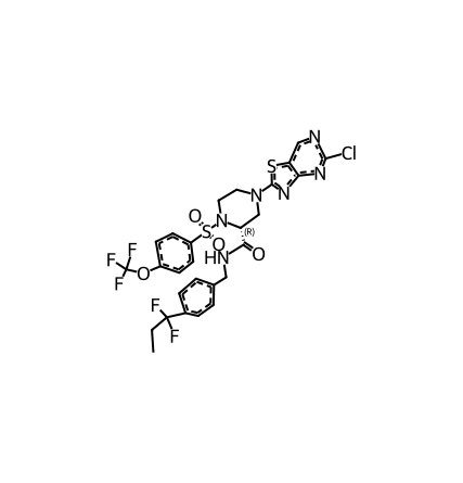 CCC(F)(F)c1ccc(CNC(=O)[C@H]2CN(c3nc4nc(Cl)ncc4s3)CCN2S(=O)(=O)c2ccc(OC(F)(F)F)cc2)cc1